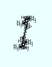 CC(C)(C)c1cc(CCC(=O)OCCCCCCOC(=O)CCc2cc(C(C)(C)C)c(O)cc2C(C)(C)C)c(C(C)(C)C)cc1O